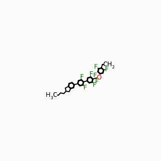 C=Cc1c(F)cc(OC(F)(F)c2c(F)cc(-c3c(F)cc(-c4ccc5c(c4)CC(CCCC)C5)cc3F)cc2F)cc1F